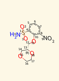 NS(=O)(=O)c1cccc([N+](=O)[O-])c1OC[C@H]1COCCO1